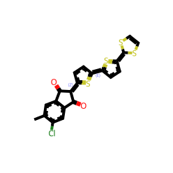 Cc1cc2c(cc1Cl)C(=O)/C(=c1/cc/c(=c3/ccc(=C4SC=CS4)s3)s1)C2=O